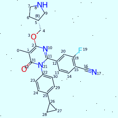 Cc1c(OC[C@@H]2CCNC2)nc(-c2ccc(C#N)c(F)c2)n(-c2ccc(C3CC3)cc2)c1=O